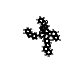 c1ccc2cc3c(cc2c1)c1ccc2ccccc2c1n3-c1cc2sc3c4ccccc4ccc3c2cc1-c1nc(-c2ccc3oc4ccccc4c3c2)nc(-c2ccc3sc4ccccc4c3c2)n1